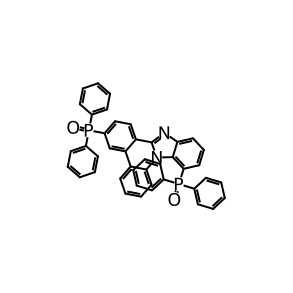 O=P(c1ccccc1)(c1ccccc1)c1ccc2c(c1)c1ccccc1n1c2nc2cccc(P(=O)(c3ccccc3)c3ccccc3)c21